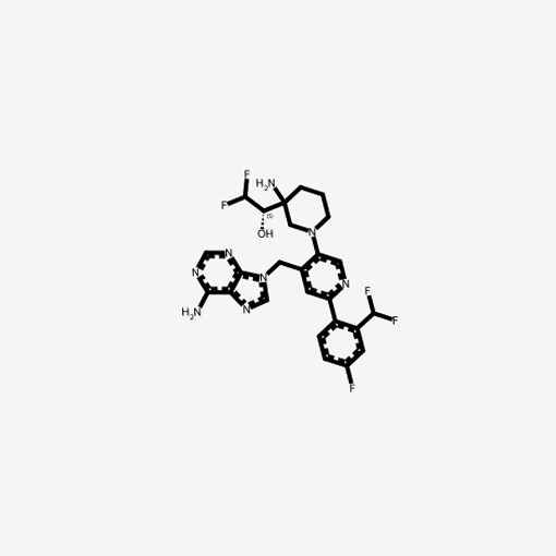 Nc1ncnc2c1ncn2Cc1cc(-c2ccc(F)cc2C(F)F)ncc1N1CCCC(N)([C@H](O)C(F)F)C1